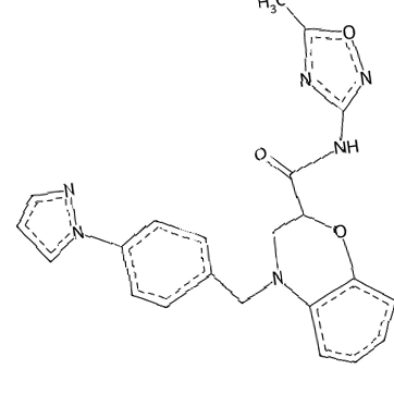 Cc1nc(NC(=O)C2CN(Cc3ccc(-n4cccn4)cc3)c3ccccc3O2)no1